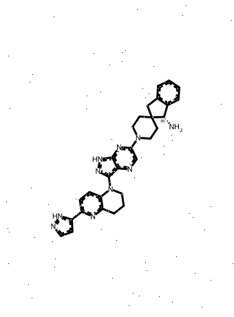 N[C@H]1c2ccccc2CC12CCN(c1cnc3c(N4CCCc5nc(-c6ccn[nH]6)ccc54)n[nH]c3n1)CC2